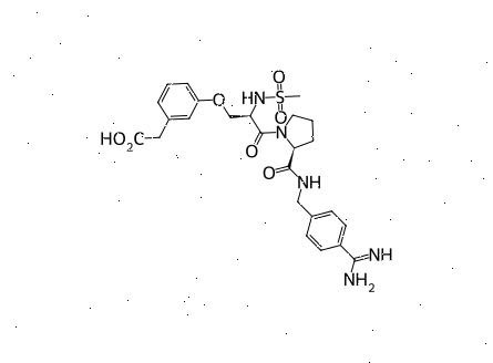 CS(=O)(=O)N[C@H](COc1cccc(CC(=O)O)c1)C(=O)N1CCC[C@H]1C(=O)NCc1ccc(C(=N)N)cc1